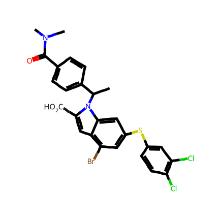 CC(c1ccc(C(=O)N(C)C)cc1)n1c(C(=O)O)cc2c(Br)cc(Sc3ccc(Cl)c(Cl)c3)cc21